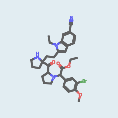 CCOC(=O)C(c1ccc(OC)c(Br)c1)N1CCCC1C(=O)C1(CCc2cc3ccc(C#N)cc3n2CC)CCCN1